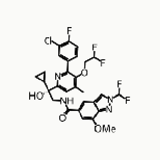 COc1cc(C(=O)NC[C@](O)(c2cc(C)c(OCC(F)F)c(-c3ccc(F)c(Cl)c3)n2)C2CC2)cc2cn(C(F)F)nc12